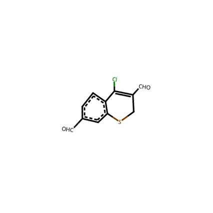 O=CC1=C(Cl)c2ccc(C=O)cc2SC1